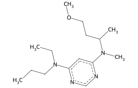 CCCN(CC)c1cc(N(C)C(C)CCOC)ncn1